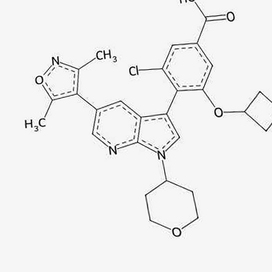 Cc1noc(C)c1-c1cnc2c(c1)c(-c1c(Cl)cc(C(=O)O)cc1OC1CCC1)cn2C1CCOCC1